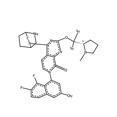 [2H]C([2H])(Oc1nc(N2CC3CCC2CN3)c2ccn(-c3cc(O)cc4ccc(F)c(F)c34)c(=O)c2n1)[C@@H]1CCCN1C